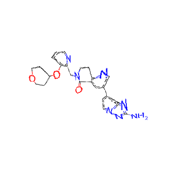 Nc1nc2cc(-c3cnc4c(c3)C(=O)N(Cc3ncccc3OC3CCOCC3)CC4)ccn2n1